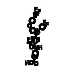 CC(F)(F)c1nc(-c2cn(C3CCC(F)(F)CC3)c3cc(O[C@H]4CC[C@H](N5CC(F)(F)C5)CC4)ccc23)ncc1C(=O)NC1CC2CC(C1)CC(C(=O)O)C2